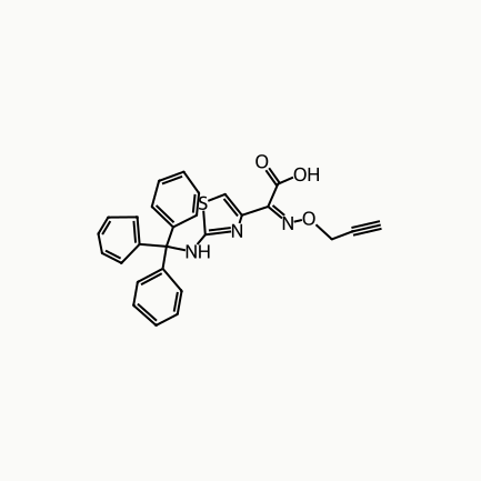 C#CCON=C(C(=O)O)c1csc(NC(c2ccccc2)(c2ccccc2)c2ccccc2)n1